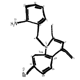 C=C1C=C(C)N(Cc2ccccc2N)c2cc(Br)ccc21